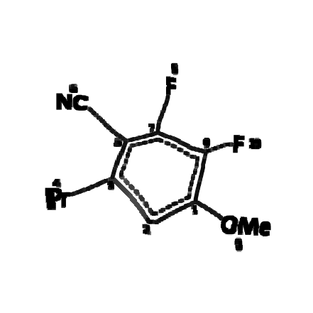 COc1cc(C(C)C)c(C#N)c(F)c1F